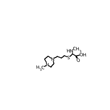 CN[C@H](SCCCN1CCN(C)CC1)C(=O)O